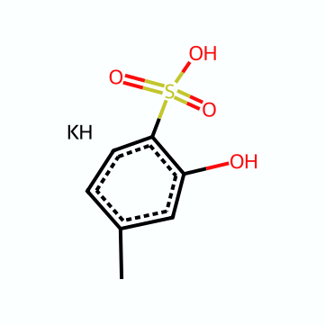 Cc1ccc(S(=O)(=O)O)c(O)c1.[KH]